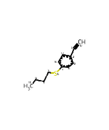 C#Cc1ccc(SCCCC)cc1